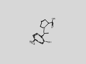 CC(c1ccc(O)cc1O)N1CCCC1C(=O)O